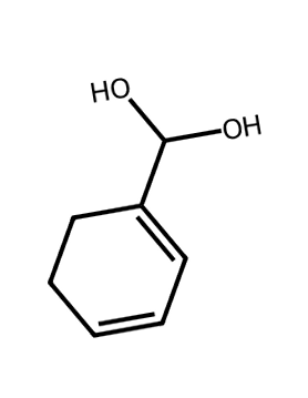 OC(O)C1=CC=CCC1